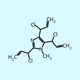 C=CC(Cl)c1nc(C(Cl)C=C)n(C)c1C(Cl)C=C